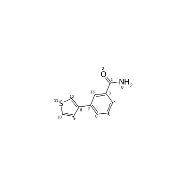 NC(=O)c1cccc(-c2ccsc2)c1